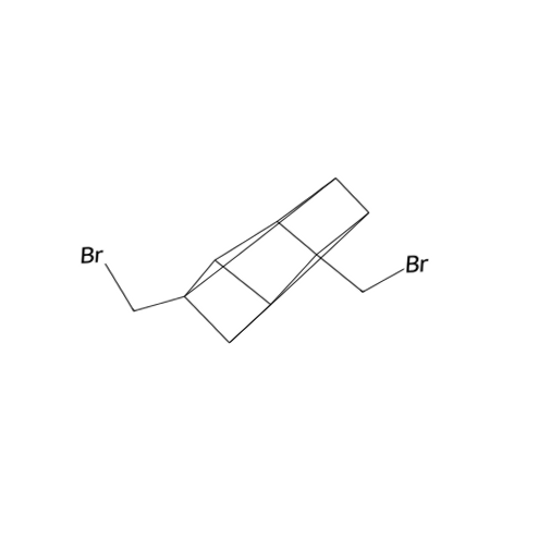 BrCC12C3C4C1C1C2C3C41CBr